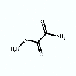 NNC(=O)C(N)=O